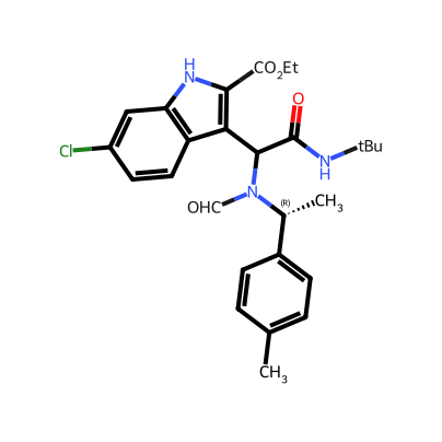 CCOC(=O)c1[nH]c2cc(Cl)ccc2c1C(C(=O)NC(C)(C)C)N(C=O)[C@H](C)c1ccc(C)cc1